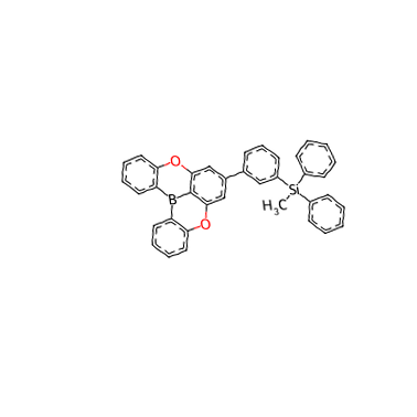 C[Si](c1ccccc1)(c1ccccc1)c1cccc(-c2cc3c4c(c2)Oc2ccccc2B4c2ccccc2O3)c1